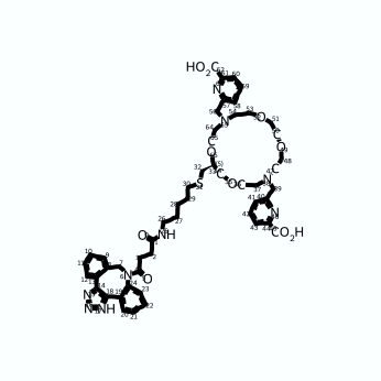 O=C(CCC(=O)N1Cc2ccccc2-c2nn[nH]c2-c2ccccc21)NCCCCCSC[C@@H]1COCCN(Cc2cccc(C(=O)O)n2)CCOCCOCCN(Cc2cccc(C(=O)O)n2)CCO1